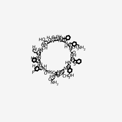 CCCC[C@H]1C(=O)N(C)CC(=O)N[C@@H](CC(=O)O)C(=O)N[C@@H](C(C)C)C(=O)N(C)[C@@H](Cc2ccccc2)C(=O)N[C@@H](Cc2ccc(CN)cc2)C(=O)N(C)CC(=O)N[C@@H](Cc2csc3ccccc23)C(=O)N[C@@H](Cc2ccc(O)cc2)C(=O)N[C@@H](CC(C)C)C(=O)NC(C(=O)NCC(N)=O)CSCC(=O)N[C@@H](Cc2cccc(F)c2)C(=O)N(C)[C@@H](Cc2ccccc2)C(=O)N1C